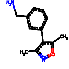 Cc1noc(C)c1-c1cccc(CN)c1